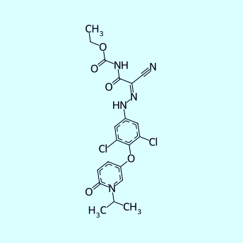 CCOC(=O)NC(=O)C(C#N)=NNc1cc(Cl)c(Oc2ccc(=O)n(C(C)C)c2)c(Cl)c1